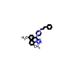 Cc1ccc(C(c2nnnn2-c2c(C)cccc2C)N2CCN(C/C=C/c3ccccc3)CC2)cc1